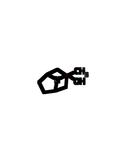 CC1CC2CCC(C1)N2CO